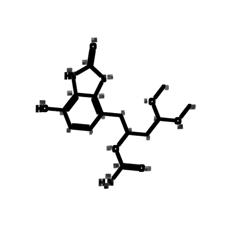 COC(CC(Cc1ccc(O)c2[nH]c(=O)sc12)OC(N)=O)OC